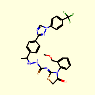 COCc1ccccc1N1C(=O)CS/C1=N\C(=S)NNC(C)c1ccc(-c2ncn(-c3ccc(C(F)(F)F)cc3)n2)cc1